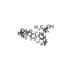 C[C@H]1[C@H](O)CN1c1nc(-c2ccc3c(c2)OCC3/C=N\S(C)(=O)=O)c2c(n1)C(F)(F)CC2